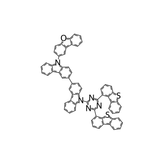 c1ccc2c(c1)oc1ccc(-n3c4ccccc4c4cc(-c5ccc6c(c5)c5ccccc5n6-c5nc(-c6cccc7c6sc6ccccc67)nc(-c6cccc7sc8ccccc8c67)n5)ccc43)cc12